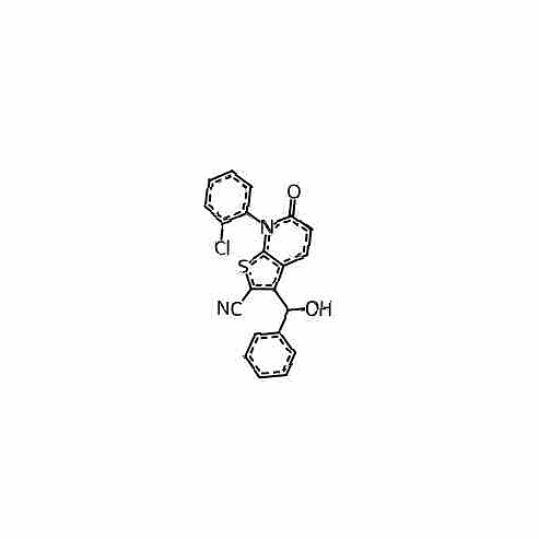 N#Cc1sc2c(ccc(=O)n2-c2ccccc2Cl)c1C(O)c1ccccc1